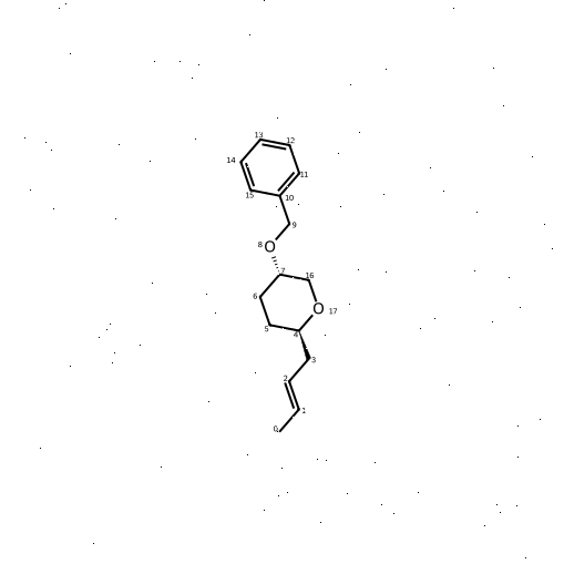 C/C=C/C[C@H]1CC[C@H](OCc2ccccc2)CO1